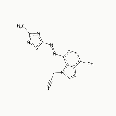 Cc1nsc(/N=N/c2ccc(O)c3ccn(CC#N)c23)n1